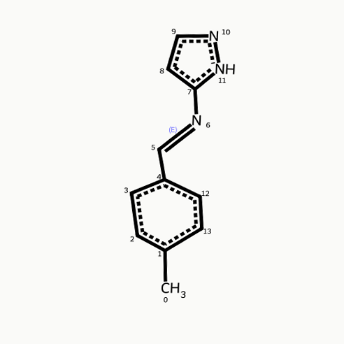 Cc1ccc(/C=N/c2ccn[nH]2)cc1